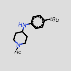 CC(=O)N1CCC(Nc2ccc(C(C)(C)C)cc2)CC1